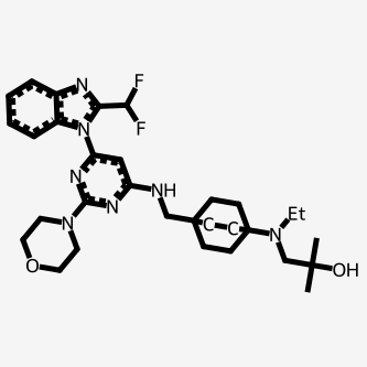 CCN(CC(C)(C)O)C12CCC(CNc3cc(-n4c(C(F)F)nc5ccccc54)nc(N4CCOCC4)n3)(CC1)CC2